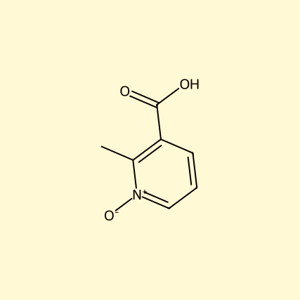 Cc1c(C(=O)O)ccc[n+]1[O-]